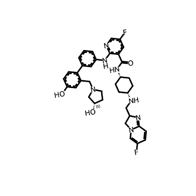 O=C(N[C@H]1CC[C@@H](NCC2CN3C=C(F)C=CC3=N2)CC1)c1cc(F)cnc1Nc1cccc(-c2ccc(O)cc2CN2CC[C@H](O)C2)c1